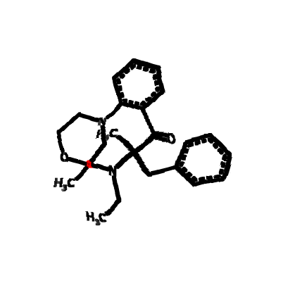 CCN(CC)C(C)(Cc1ccccc1)C(=O)c1ccccc1N1CCOCC1